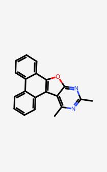 Cc1nc(C)c2c(n1)oc1c3ccccc3c3ccccc3c12